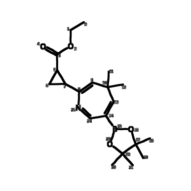 CCOC(=O)C1CC1C1=CC(C)(C)C=C(B2OC(C)(C)C(C)(C)O2)C=N1